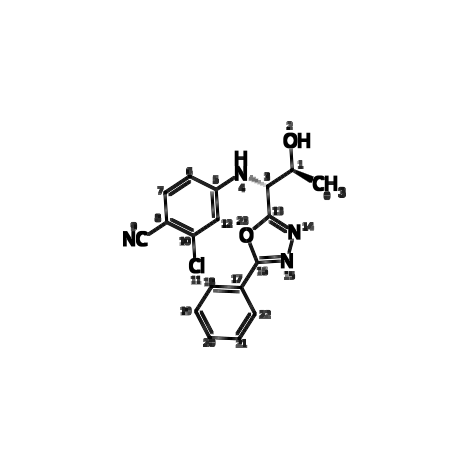 C[C@H](O)[C@@H](Nc1ccc(C#N)c(Cl)c1)c1nnc(-c2ccccc2)o1